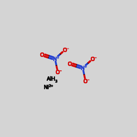 O=[N+]([O-])[O-].O=[N+]([O-])[O-].[AlH3].[Ni+2]